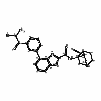 CCN(C)C(=O)c1cccc(-c2cccc3cc(C(=O)N[C@H]4CN5CCC4CC5)oc23)c1